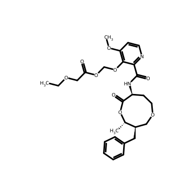 CCOCC(=O)OCOc1c(OC)ccnc1C(=O)N[C@H]1CCOC[C@@H](Cc2ccccc2)[C@H](C)OC1=O